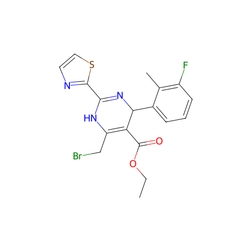 CCOC(=O)C1=C(CBr)NC(c2nccs2)=NC1c1cccc(F)c1C